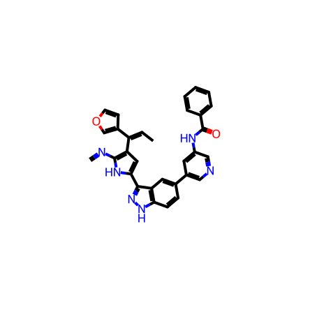 C=Nc1[nH]c(-c2n[nH]c3ccc(-c4cncc(NC(=O)c5ccccc5)c4)cc23)cc1/C(=C\C)c1ccoc1